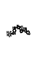 CC(C)NC1CCC(Nc2cc(-c3cccc(NCC4(C#N)CCOCC4)n3)c(Cl)cn2)CC1